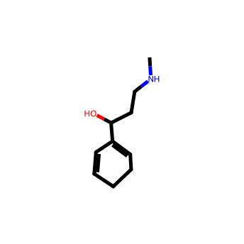 CNCCC(O)C1=CCCC=C1